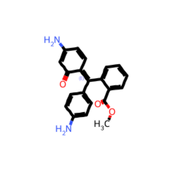 COC(=O)c1ccccc1/C(=C1\C=CC(N)=CC1=O)c1ccc(N)cc1